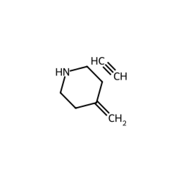 C#C.C=C1CCNCC1